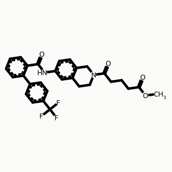 COC(=O)CCCC(=O)N1CCc2cc(NC(=O)c3ccccc3-c3ccc(C(F)(F)F)cc3)ccc2C1